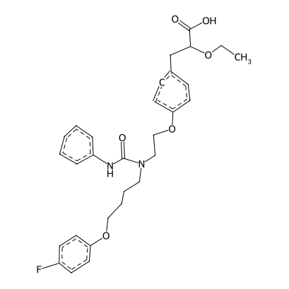 CCOC(Cc1ccc(OCCN(CCCCOc2ccc(F)cc2)C(=O)Nc2ccccc2)cc1)C(=O)O